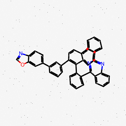 c1ccc(-c2nc(-c3ccccc3-c3c(-c4cccc(-c5ccc6ncoc6c5)c4)ccc4ccccc34)c3ccccc3n2)cc1